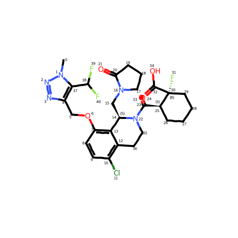 Cn1nnc(COc2ccc(Cl)c3c2[C@@H](CN2CCCC2=O)N(C(=O)[C@@H]2CCCC[C@]2(F)C(=O)O)CC3)c1C(F)F